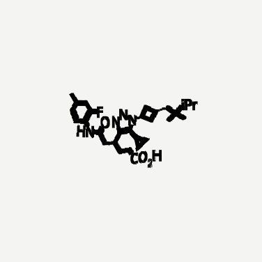 Cc1ccc(NC(=O)C[C@H](CCC(=O)O)c2nnn([C@H]3C[C@@H](CC(C)(C)C(C)C)C3)c2C2CC2)c(F)c1